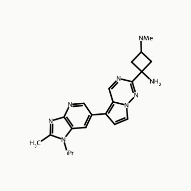 CNC1CC(N)(c2ncc3c(-c4cnc5nc(C)n(C(C)C)c5c4)ccn3n2)C1